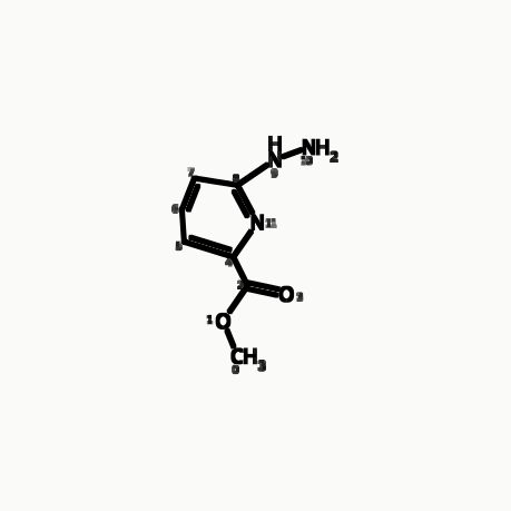 COC(=O)c1cccc(NN)n1